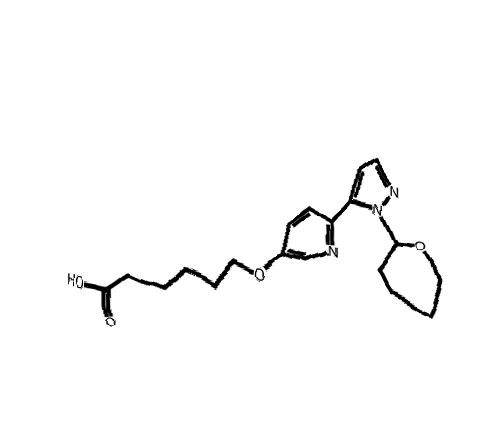 O=C(O)CCCCCOc1ccc(-c2ccnn2C2CCCCO2)nc1